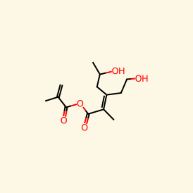 C=C(C)C(=O)OC(=O)C(C)=C(CCO)CC(C)O